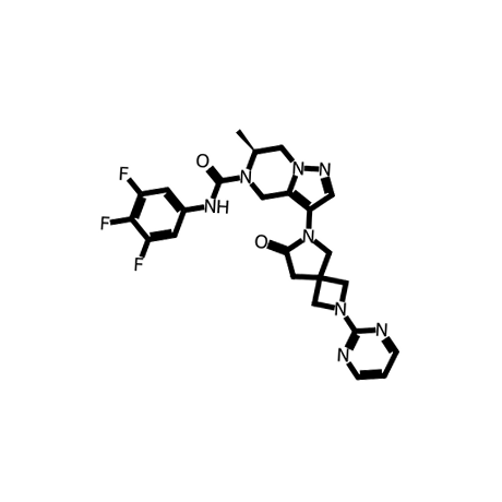 C[C@H]1Cn2ncc(N3CC4(CC3=O)CN(c3ncccn3)C4)c2CN1C(=O)Nc1cc(F)c(F)c(F)c1